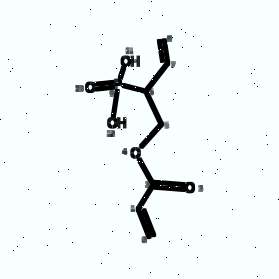 C=CC(=O)OCC(C=C)P(=O)(O)O